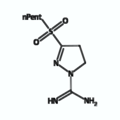 CCCCCS(=O)(=O)C1=NN(C(=N)N)CC1